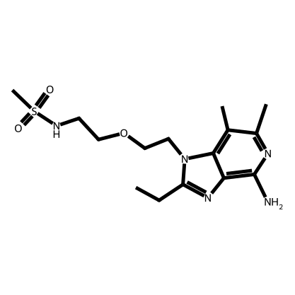 CCc1nc2c(N)nc(C)c(C)c2n1CCOCCNS(C)(=O)=O